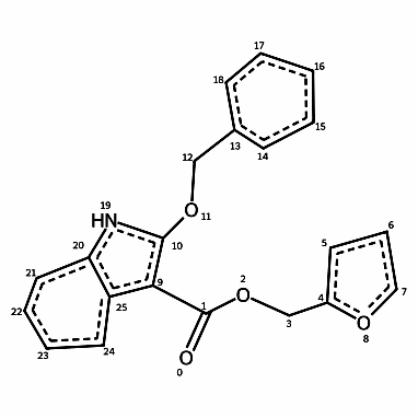 O=C(OCc1ccco1)c1c(OCc2ccccc2)[nH]c2ccccc12